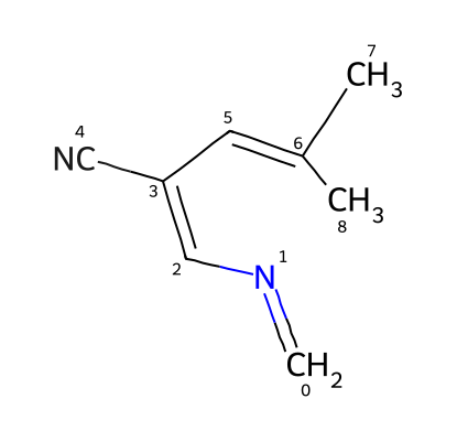 C=N/C=C(/C#N)C=C(C)C